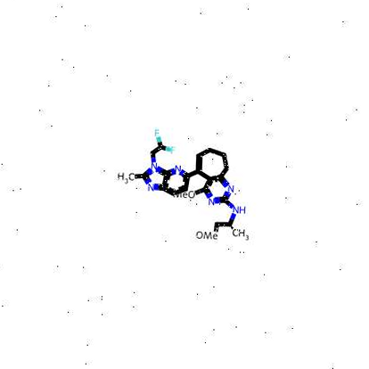 COC[C@@H](C)Nc1nc2c(c(OC)n1)C(c1ccc3nc(C)n(CC(F)F)c3n1)=CCCC2